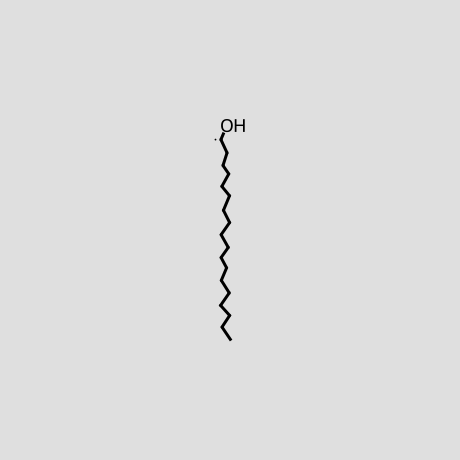 CCCCCCCCCCCCCCCCC[CH]O